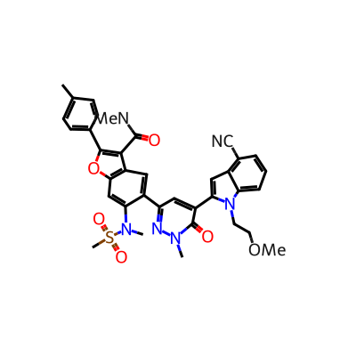 CNC(=O)c1c(-c2ccc(C)cc2)oc2cc(N(C)S(C)(=O)=O)c(-c3cc(-c4cc5c(C#N)cccc5n4CCOC)c(=O)n(C)n3)cc12